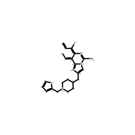 C=C/C(F)=c1/nc(N)n2cc(CC3CCN(Cc4cccs4)CC3)nc2/c1=C/C